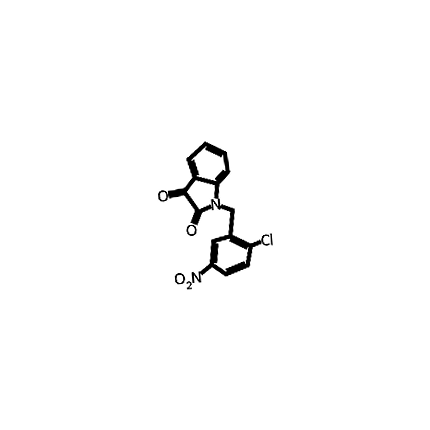 O=C1C(=O)N(Cc2cc([N+](=O)[O-])ccc2Cl)c2ccccc21